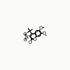 COc1cc2oc(=O)c([N+](=O)[O-])c(C(C)(C)C)c2cc1OC